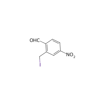 O=Cc1ccc([N+](=O)[O-])cc1CI